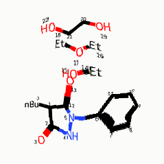 CCCCC1C(=O)NN(c2ccccc2)C1=O.CCO.CCOCC.OCCO